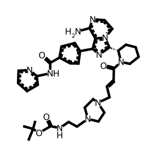 CC(C)(C)OC(=O)NCCN1CCN(C/C=C/C(=O)N2CCCC[C@H]2c2nc(-c3ccc(C(=O)Nc4ccccn4)cc3)c3c(N)nccn23)CC1